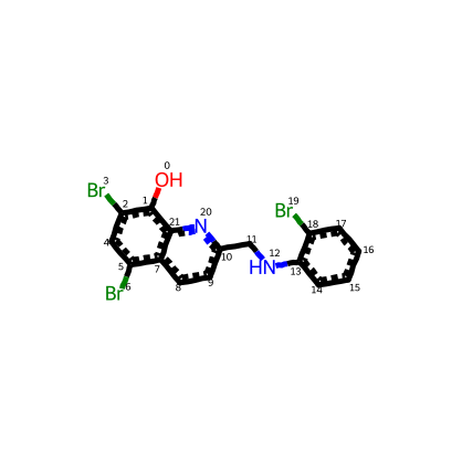 Oc1c(Br)cc(Br)c2ccc(CNc3ccccc3Br)nc12